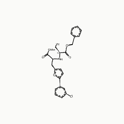 COC(=O)C(Cc1ccc(-c2cccc(Cl)c2)o1)N[C@@H](CC(C)C)C(=O)OCc1ccccc1